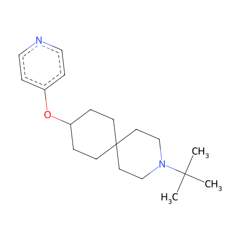 CC(C)(C)N1CCC2(CCC(Oc3ccncc3)CC2)CC1